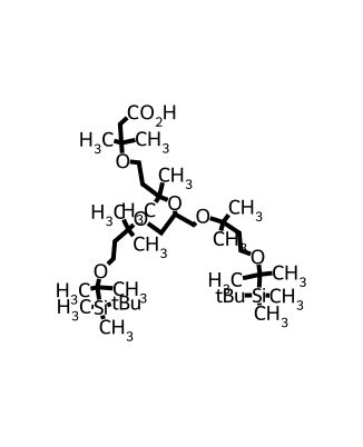 CC(C)(CCOC(C)(C)[Si](C)(C)C(C)(C)C)OCC(COC(C)(C)CCOC(C)(C)[Si](C)(C)C(C)(C)C)OC(C)(C)CCOC(C)(C)CC(=O)O